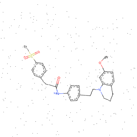 CCS(=O)(=O)c1ccc(CC(=O)Nc2ccc(CCN3CCCc4ccc(OC(C)C)cc43)cc2)cc1